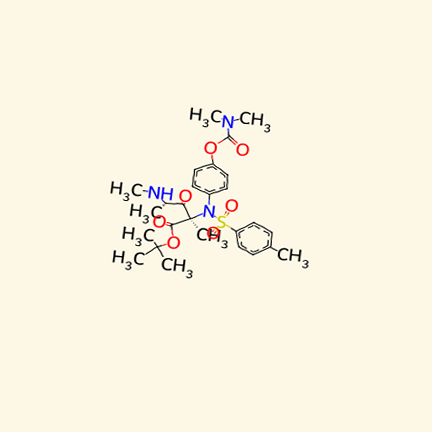 CN[C@@H](C)C(=O)[C@](C)(C(=O)OC(C)(C)C)N(c1ccc(OC(=O)N(C)C)cc1)S(=O)(=O)c1ccc(C)cc1